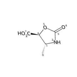 C[C@H]1NC(=O)O[C@@H]1C(=O)O